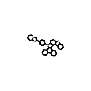 c1ccc2c(c1)sc1ccc3c(c12)c1c2ccccc2c2ccccc2c1n3-c1ccc(-c2cn3ccccc3n2)cc1